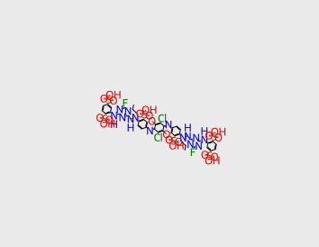 CCCN(Nc1nc(F)nc(Nc2cc(S(=O)(=O)O)ccc2S(=O)(=O)O)n1)c1ccc2c(c1S(=O)(=O)O)Oc1c(Cl)c3c(c(Cl)c1=N2)Oc1c(ccc(N(CCC)Nc2nc(F)nc(Nc4cc(S(=O)(=O)O)ccc4S(=O)(=O)O)n2)c1S(=O)(=O)O)N=3